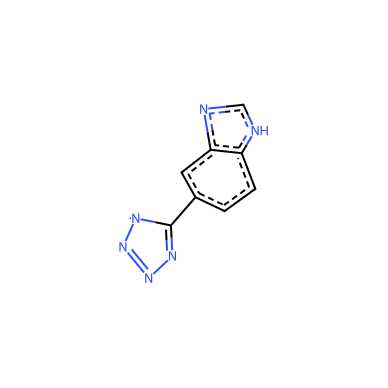 c1nc2cc(C3=NN=N[N]3)ccc2[nH]1